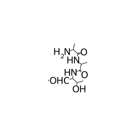 CC(N)C(=O)NC(C)C(=O)NC([C]=O)C(C)O